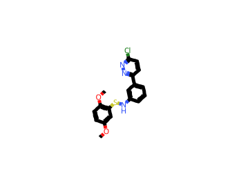 COc1ccc(OC)c(SNc2cccc(-c3ccc(Cl)nn3)c2)c1